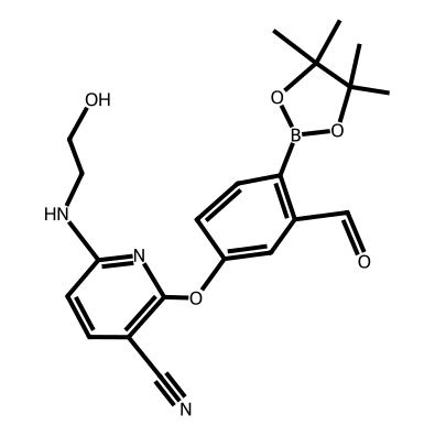 CC1(C)OB(c2ccc(Oc3nc(NCCO)ccc3C#N)cc2C=O)OC1(C)C